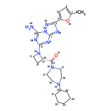 Cc1ccc(-c2nc3nc(N4CC[C@H]4C(=O)N4CCN(C5CCCCC5)CC4)nc(N)n3n2)o1